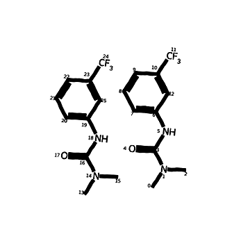 CN(C)C(=O)Nc1cccc(C(F)(F)F)c1.CN(C)C(=O)Nc1cccc(C(F)(F)F)c1